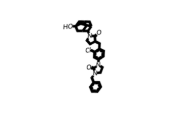 O=C1N(Cc2ccccc2)CCN1c1ccc(CC2CCN(C3C4CC5CC3CC(O)(C5)C4)C2=O)c(Cl)c1